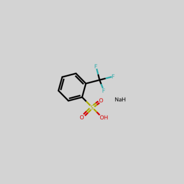 O=S(=O)(O)c1ccccc1C(F)(F)F.[NaH]